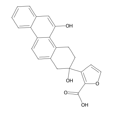 O=C(O)c1occc1C1(O)CCc2c(ccc3c2c(O)cc2ccccc23)C1